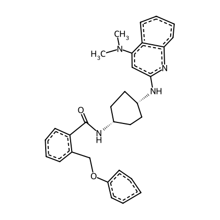 CN(C)c1cc(N[C@H]2CC[C@@H](NC(=O)c3ccccc3COc3ccccc3)CC2)nc2ccccc12